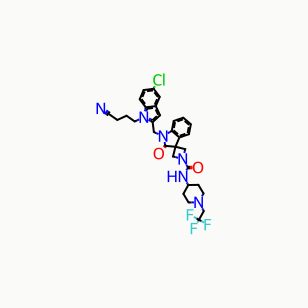 N#CCCCn1c(CN2C(=O)C3(CN(C(=O)NC4CCN(CC(F)(F)F)CC4)C3)c3ccccc32)cc2cc(Cl)ccc21